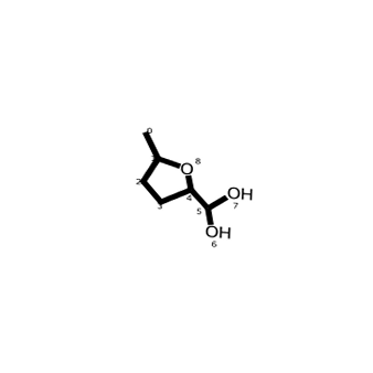 CC1CCC(C(O)O)O1